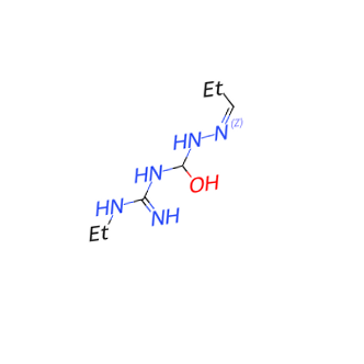 CC/C=N\NC(O)NC(=N)NCC